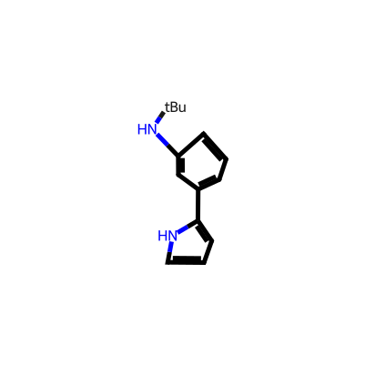 CC(C)(C)Nc1cccc(-c2ccc[nH]2)c1